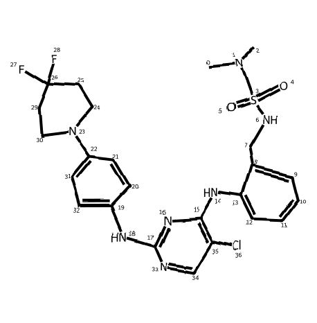 CN(C)S(=O)(=O)NCc1ccccc1Nc1nc(Nc2ccc(N3CCC(F)(F)CC3)cc2)ncc1Cl